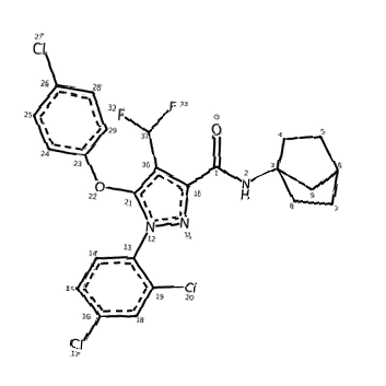 O=C(NC12CCC(CC1)C2)c1nn(-c2ccc(Cl)cc2Cl)c(Oc2ccc(Cl)cc2)c1C(F)F